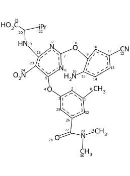 Cc1cc(Oc2nc(Oc3cc(C#N)ccc3N)nc(NC(C(=O)O)C(C)C)c2[N+](=O)[O-])cc(C(=O)N(C)C)c1